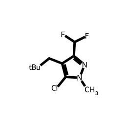 Cn1nc(C(F)F)c(CC(C)(C)C)c1Cl